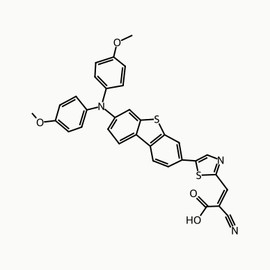 COc1ccc(N(c2ccc(OC)cc2)c2ccc3c(c2)sc2cc(-c4cnc(C=C(C#N)C(=O)O)s4)ccc23)cc1